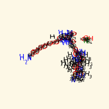 CC[C@H](C)[C@@H]([C@@H](CC(=O)N1CCC[C@H]1[C@H](OC)[C@@H](C)C(=O)N[C@@H](Cc1ccccc1)c1nccs1)OC)N(C)C(=O)[C@@H](NC(=O)C(C)(C)NC(=O)OCc1ccc(NC(=O)[C@H](CCCNC(N)=O)NC(=O)[C@@H](NC(=O)CCOCCOCCOCCOCCOCCOCCN)C(C)C)cc1)C(C)C.O=C(O)C(F)(F)F